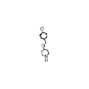 Clc1ccc(COC2CCNCC2)cc1